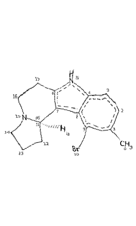 Cc1ccc2[nH]c3c(c2c1Br)[C@H]1CCCN1CC3